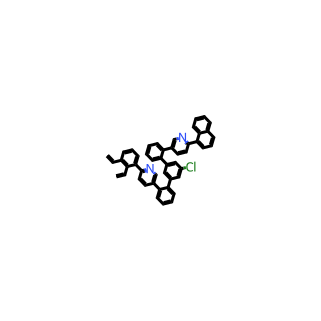 C=Cc1cccc(-c2ccc(-c3ccccc3-c3cc(Cl)cc(-c4ccccc4-c4ccc(-c5cccc6ccccc56)nc4)c3)cn2)c1C=C